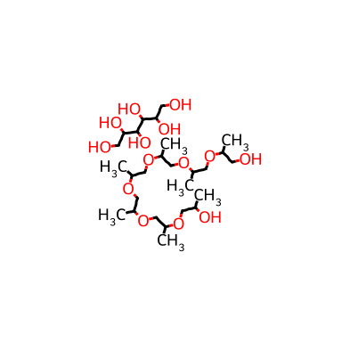 CC(O)COC(C)COC(C)COC(C)COC(C)COC(C)COC(C)CO.OCC(O)C(O)C(O)C(O)CO